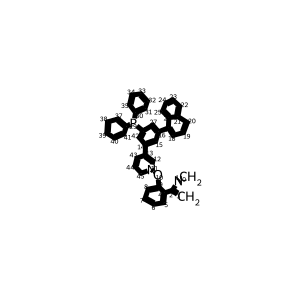 C=NC(=C)c1ccccc1ON1C=C(c2cc(-c3cccc4ccccc34)cc(P(c3ccccc3)c3ccccc3)c2)C=CC1